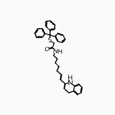 O=C(CSC(c1ccccc1)(c1ccccc1)c1ccccc1)NCCCCCCCC1CCc2ccccc2N1